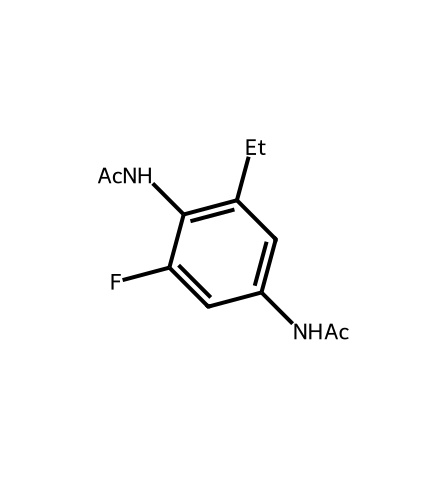 CCc1cc(NC(C)=O)cc(F)c1NC(C)=O